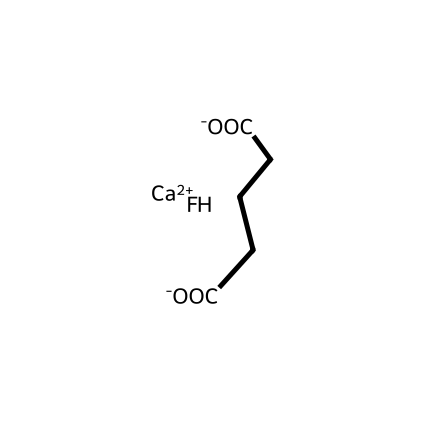 F.O=C([O-])CCCC(=O)[O-].[Ca+2]